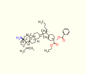 C=C(C)[C@@H]1CC[C@]2(N)CC[C@]3(C)[C@H](CC[C@@H]4C[C@H](C(C)(C)/C(=C\CCC)C5=CC[C@](COC(=O)c6ccccc6)(C(=O)OCC)CC5)CC[C@]43C)[C@@H]12